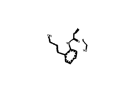 C=CC(=O)Nc1ccccc1CCCO.CCO